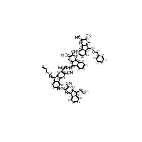 C=CCON=C1c2ccccc2-c2nc(C#N)c(C#N)nc21.CON=C1c2ccccc2-c2nc(C#N)c(C#N)nc21.N#Cc1nc2c(nc1C#N)-c1ccccc1C2=NO.N#Cc1nc2c(nc1C#N)-c1ccccc1C2=NOCc1ccccc1